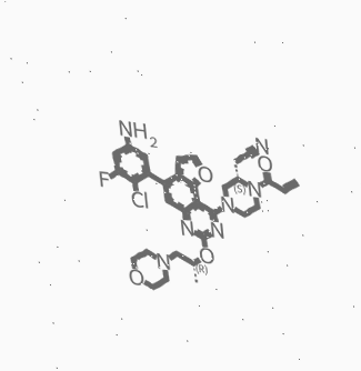 C=CC(=O)N1CCN(c2nc(O[C@H](C)CN3CCOCC3)nc3cc(-c4cc(N)cc(F)c4Cl)c4ccoc4c23)C[C@@H]1CC#N